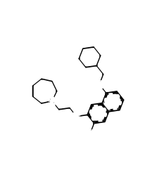 CCOC(=O)c1cc2cccc(OCC3CCCCC3)c2cc1OCCN1CCCCCC1